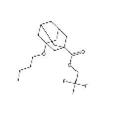 CCCCOC12CC3CC(C1)CC(C(=O)OCC(C)(F)F)(C3)C2